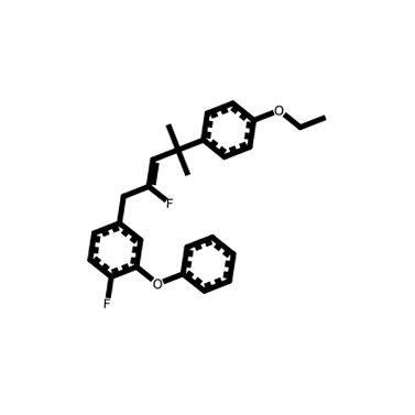 CCOc1ccc(C(C)(C)C=C(F)Cc2ccc(F)c(Oc3ccccc3)c2)cc1